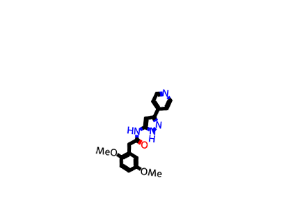 COc1ccc(OC)c(CC(=O)Nc2cc(-c3ccncc3)n[nH]2)c1